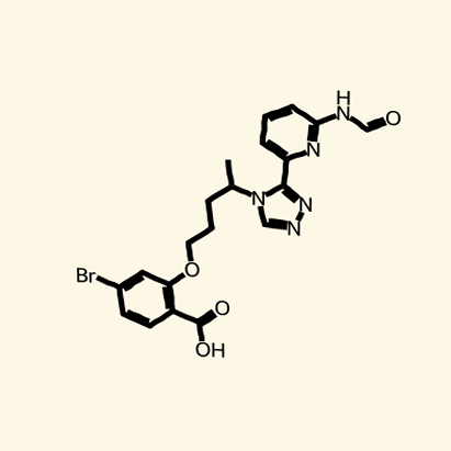 CC(CCCOc1cc(Br)ccc1C(=O)O)n1cnnc1-c1cccc(NC=O)n1